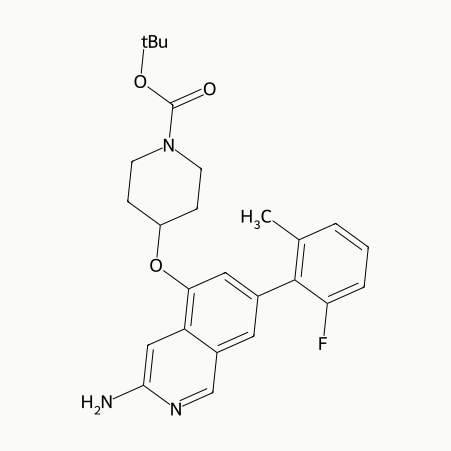 Cc1cccc(F)c1-c1cc(OC2CCN(C(=O)OC(C)(C)C)CC2)c2cc(N)ncc2c1